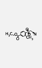 CCOC(=O)c1ccc(S(=O)(=O)CC#N)c(C)c1